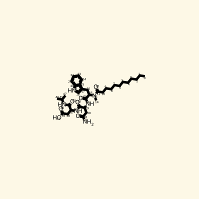 CCCCCCCCCCCC(=O)N(C)C(Cc1c[nH]c2ccccc12)C(=O)NC(CC(N)=O)C(=O)NC(CC(=O)O)C(=O)NC(C)C